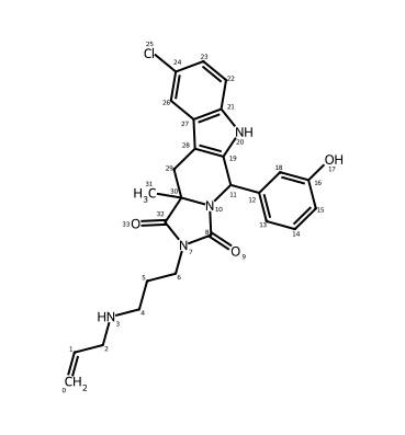 C=CCNCCCN1C(=O)N2C(c3cccc(O)c3)c3[nH]c4ccc(Cl)cc4c3CC2(C)C1=O